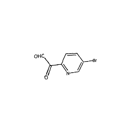 O=CC(=O)c1ccc(Br)cn1